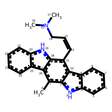 Cc1c2[nH]c3ccccc3c2c(/C=C\CN(C)C)c2[nH]c3ccccc3c12